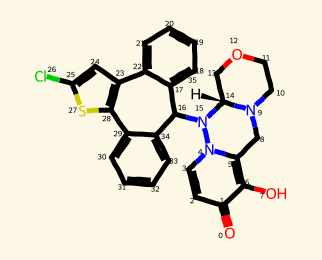 O=c1ccn2c(c1O)CN1CCOC[C@H]1N2C1c2ccccc2-c2cc(Cl)sc2-c2ccccc21